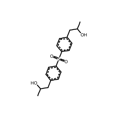 CC(O)Cc1ccc(S(=O)(=O)c2ccc(CC(C)O)cc2)cc1